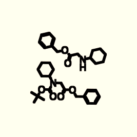 CC(C)(C)OC(=O)N(CC(=O)OCc1ccccc1)C1CCCCC1.O=C(CNC1CCCCC1)OCc1ccccc1